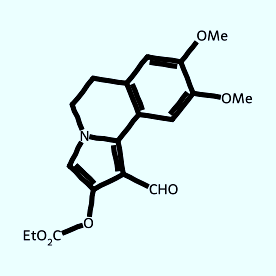 CCOC(=O)Oc1cn2c(c1C=O)-c1cc(OC)c(OC)cc1CC2